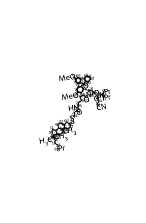 COc1ccc(C(OC[C@@H]2C[C@@H](OP(OCCC#N)N(C(C)C)C(C)C)CN2C(=O)CCCCCNC(=O)CCSS[C@H]2CC[C@@]3(C)C(=CCC4C3CC[C@@]3(C)C4CC[C@@H]3[C@H](C)CCCC(C)C)C2)(c2ccccc2)c2ccc(OC)cc2)cc1